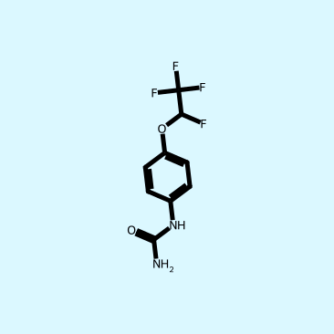 NC(=O)Nc1ccc(OC(F)C(F)(F)F)cc1